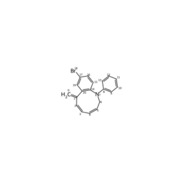 C=C1/C=C\C=C/CN(c2ccccc2)c2ccc(Br)cc21